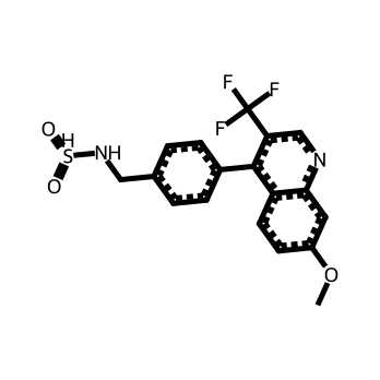 COc1ccc2c(-c3ccc(CN[SH](=O)=O)cc3)c(C(F)(F)F)cnc2c1